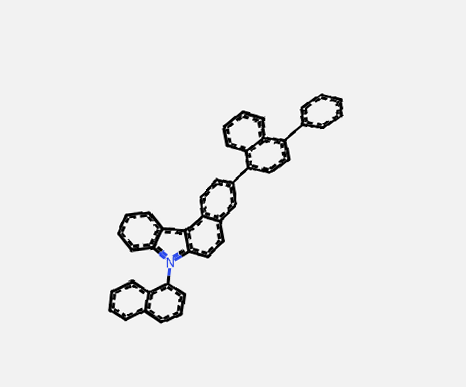 c1ccc(-c2ccc(-c3ccc4c(ccc5c4c4ccccc4n5-c4cccc5ccccc45)c3)c3ccccc23)cc1